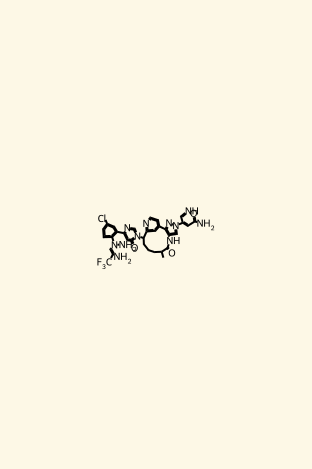 CC1CCCC(n2cnc(-c3cc(Cl)ccc3N(N)/C=C(\N)C(F)(F)F)cc2=O)c2cc(ccn2)-c2nn(/C(C=N)=C/C(N)=O)cc2NC1=O